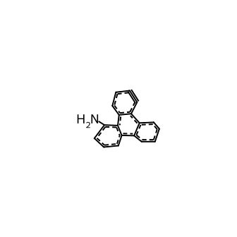 Nc1cccc2c3ccccc3c3c#cccc3c12